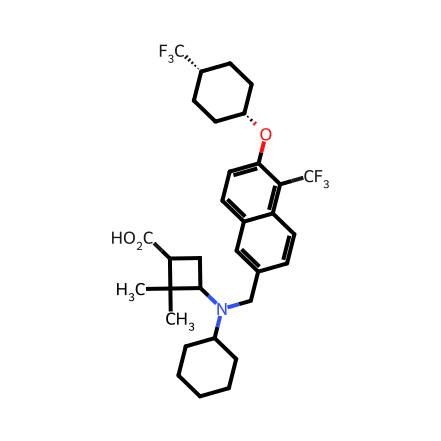 CC1(C)C(C(=O)O)CC1N(Cc1ccc2c(C(F)(F)F)c(O[C@H]3CC[C@@H](C(F)(F)F)CC3)ccc2c1)C1CCCCC1